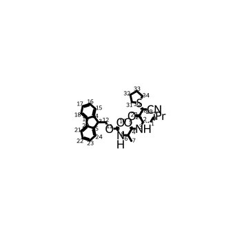 CC(C)C[C@H](NC(=O)C(C)NC(=O)OCC1c2ccccc2-c2ccccc21)C(=O)C(C#N)=S1CCCC1